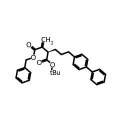 C=C(C(=O)OCc1ccccc1)[C@@H](CCCc1ccc(-c2ccccc2)cc1)C(=O)OC(C)(C)C